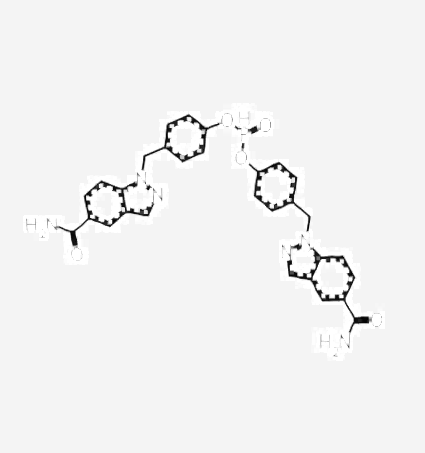 NC(=O)c1ccc2c(cnn2Cc2ccc(O[PH](=O)Oc3ccc(Cn4ncc5cc(C(N)=O)ccc54)cc3)cc2)c1